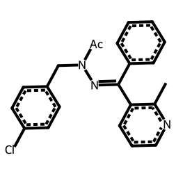 CC(=O)N(Cc1ccc(Cl)cc1)/N=C(\c1ccccc1)c1cccnc1C